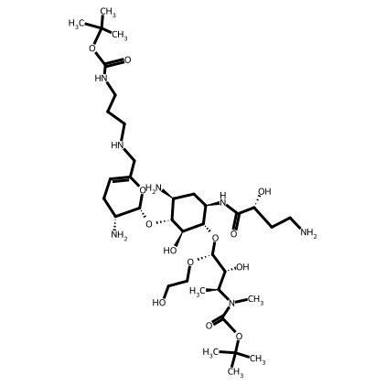 C[C@@H]([C@@H](O)[C@H](OCCO)O[C@@H]1[C@@H](O)[C@H](O[C@H]2OC(CNCCCNC(=O)OC(C)(C)C)=CC[C@H]2N)[C@@H](N)C[C@H]1NC(=O)[C@H](O)CCN)N(C)C(=O)OC(C)(C)C